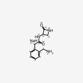 NCc1ccccc1CC(=O)NC1CNC1=O.[NaH]